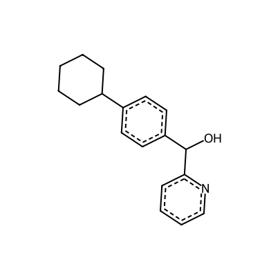 OC(c1ccc(C2CCCCC2)cc1)c1ccccn1